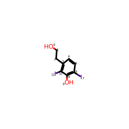 OCCc1ccc(I)c(O)c1I